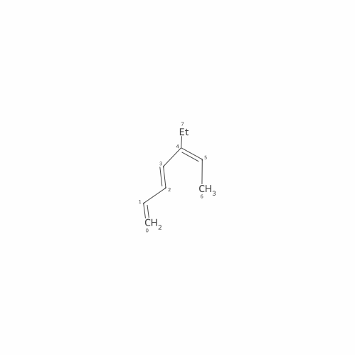 C=CC=CC(=CC)CC